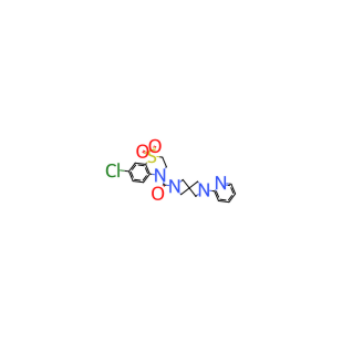 O=C(N1CC2(C1)CN(c1ccccn1)C2)N1CCS(=O)(=O)c2cc(Cl)ccc21